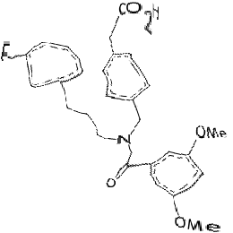 COc1cc(OC)cc(C(=O)N(CCCc2cccc(F)c2)Cc2ccc(CC(=O)O)cc2)c1